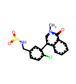 Cn1cc(-c2cc(CN[SH](=O)=O)ccc2Cl)c2ccccc2c1=O